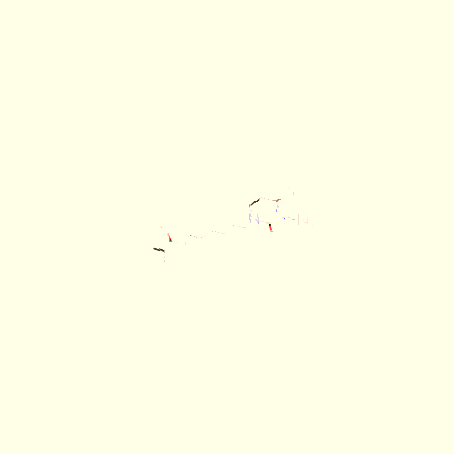 C=C(C)C(=O)OCCCCCCn1ccc(=O)n(C(C)CC)c1=O